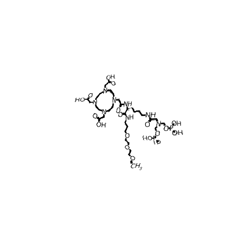 CCOCCOCCOCCCNC(=O)[C@@H](CCCCNC(=O)CN(COP(O)O)CO[PH](=O)O)NC(=O)CN1CCN(CC(=O)O)CCN(CC(=O)O)CCN(CC(=O)O)CC1